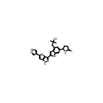 CC(C)(O)Cc1cc(C2CCC(=O)N2)cc2[nH]c(-c3n[nH]c4cc(-c5cn[nH]c5)sc34)cc12